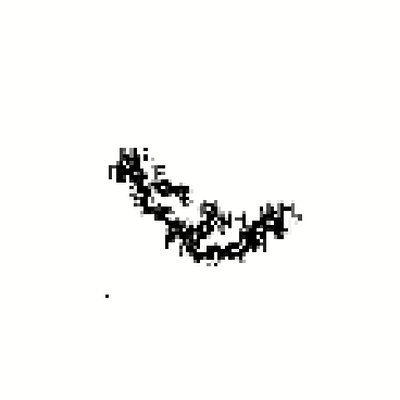 CC(=O)N(C)N(Cc1ccc(-c2ccc(C3CC3C(=O)N(C)N(Cc3ccc(C4=C[SH](C5CC5C(=O)N(C)N(Cc5ccc(-c6ccsn6)cc5F)C(=O)c5ccc6nc(N)c7cnn(C)c7c6c5)N=C4)cc3F)C(=O)c3ccc4nc(N)c5cnn(C)c5c4c3)nc2)cc1F)C(=O)c1ccc2nc(N)c3cnn(C)c3c2c1